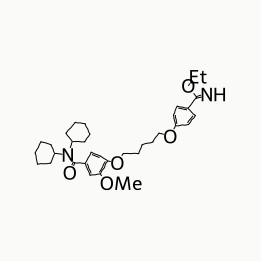 CCOC(=N)c1ccc(OCCCCCOc2ccc(C(=O)N(C3CCCCC3)C3CCCCC3)cc2OC)cc1